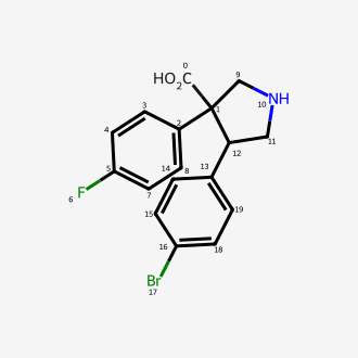 O=C(O)C1(c2ccc(F)cc2)CNCC1c1ccc(Br)cc1